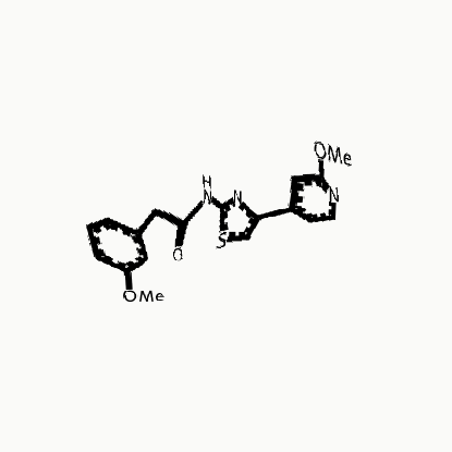 COc1cccc(CC(=O)Nc2nc(-c3ccnc(OC)c3)cs2)c1